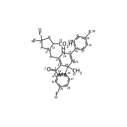 COC(=O)C1=C(CN2CC(F)(F)CC2C(=O)O)NC(c2ccc(F)cn2)=NC1(C)c1ccc(F)cc1